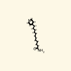 NC(=O)CCCCCCCCCCCc1ccncc1